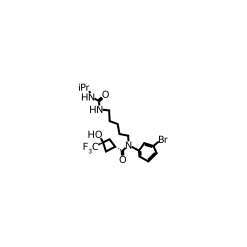 CC(C)NC(=O)NCCCCCN(c1cccc(Br)c1)C(=O)[C@H]1C[C@](O)(C(F)(F)F)C1